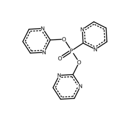 O=P(Oc1ncccn1)(Oc1ncccn1)c1ncccn1